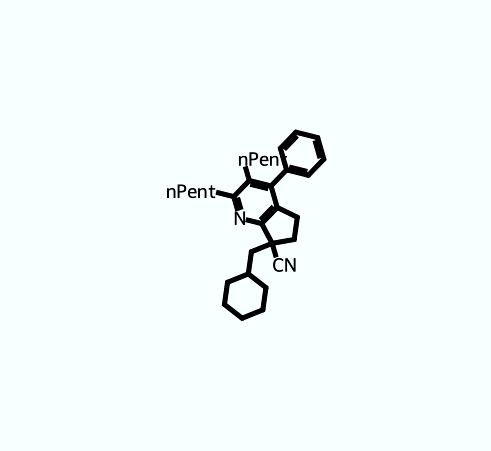 CCCCCc1nc2c(c(-c3ccccc3)c1CCCCC)CCC2(C#N)CC1CCCCC1